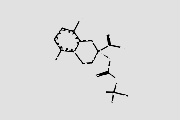 CC(C)(C)OC(=O)N[C@@]1(C(=O)O)CCc2c(Br)ccc(O)c2C1